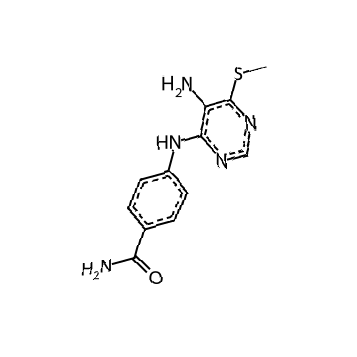 CSc1ncnc(Nc2ccc(C(N)=O)cc2)c1N